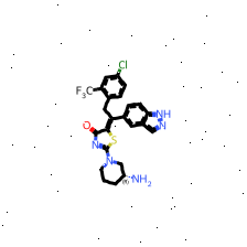 N[C@@H]1CCCN(C2=NC(=O)C(=C(Cc3ccc(Cl)cc3C(F)(F)F)c3ccc4[nH]ncc4c3)S2)C1